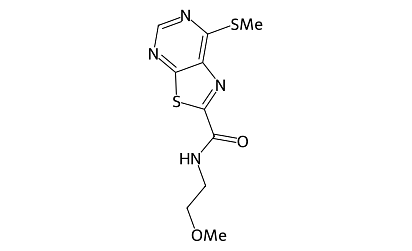 COCCNC(=O)c1nc2c(SC)ncnc2s1